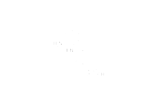 Nc1ccccc1Nc1ccc(CC(=O)O)cc1